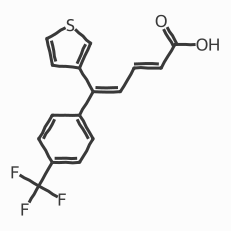 O=C(O)C=CC=C(c1ccc(C(F)(F)F)cc1)c1ccsc1